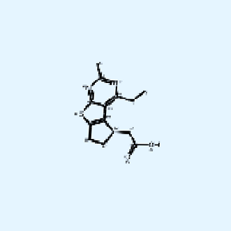 CCc1nc(C)nc2sc3c(c12)[C@@H](CC(=O)O)CC3